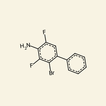 Nc1c(F)cc(-c2ccccc2)c(Br)c1F